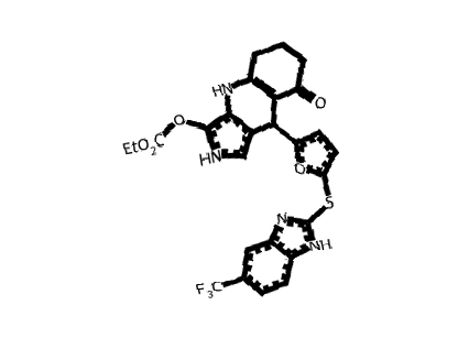 CCOC(=O)Oc1[nH]cc2c1NC1=C(C(=O)CCC1)C2c1ccc(Sc2nc3cc(C(F)(F)F)ccc3[nH]2)o1